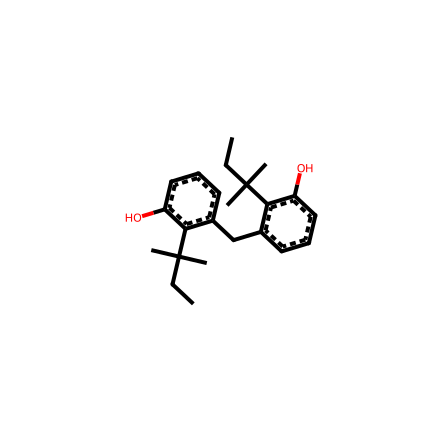 CCC(C)(C)c1c(O)cccc1Cc1cccc(O)c1C(C)(C)CC